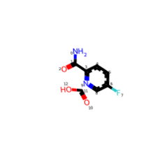 NC(=O)c1ccc(F)cn1.O=CO